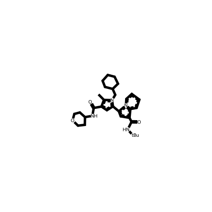 Cc1c(C(=O)NC2CCOCC2)cc(-c2cc(C(=O)NC(C)(C)C)c3ccccn23)n1CC1CCCCC1